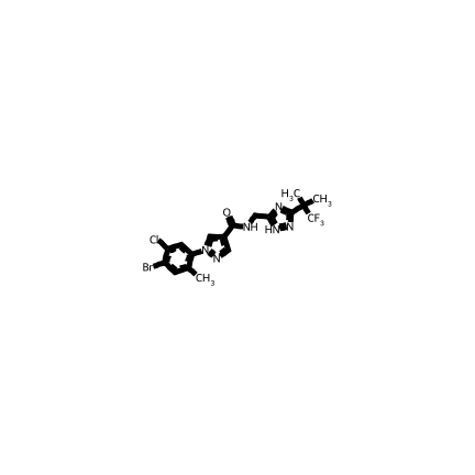 Cc1cc(Br)c(Cl)cc1-n1cc(C(=O)NCc2nc(C(C)(C)C(F)(F)F)n[nH]2)cn1